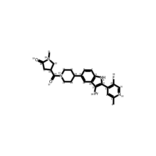 Cc1cc(-c2[nH]c3ccc(C4CCN(C(=O)C5CC(=O)N(C)C5)CC4)cc3c2C(C)C)c(F)cn1